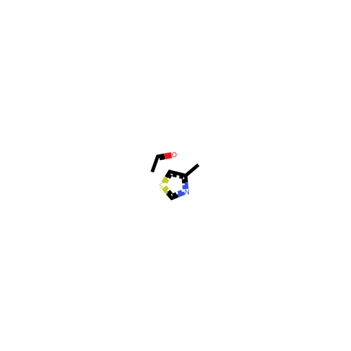 CC=O.Cc1cscn1